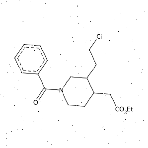 CCOC(=O)CC1CCN(C(=O)c2ccccc2)CC1CCCl